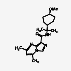 CO[C@H]1CC[C@@H](C(C)(C)NC(=O)c2ncn3c(C)cc(C)nc23)CC1